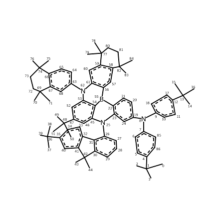 CC(C)(C)c1ccc(N(c2ccc(C(C)(C)C)cc2)c2ccc3c(c2)N(c2cccc4c2-c2ccc(C(C)(C)C)cc2C4(C)C)c2cc(C(C)(C)C)cc4c2B3c2cc3c(cc2N4c2ccc4c(c2)C(C)(C)CCC4(C)C)C(C)(C)CCC3(C)C)cc1